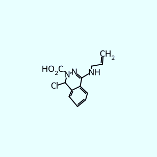 C=CCNC1=NN(C(=O)O)C(Cl)c2ccccc21